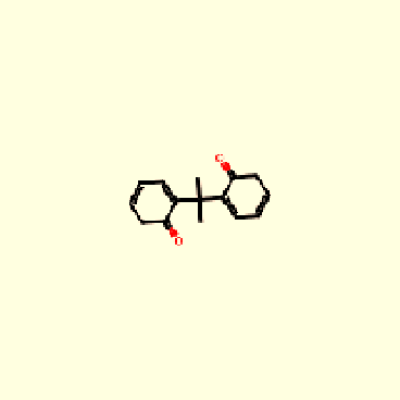 CC(C)(C1=CC=CCC1=O)C1=CC=CCC1=O